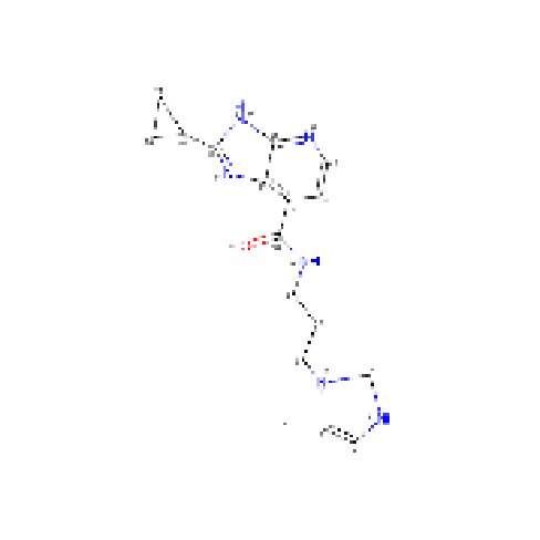 CC1=CNCN1CCCNC(=O)c1ccnc2[nH]c(C3CC3)nc12